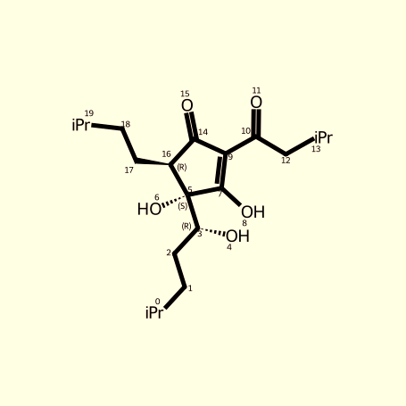 CC(C)CC[C@@H](O)[C@]1(O)C(O)=C(C(=O)CC(C)C)C(=O)[C@@H]1CCC(C)C